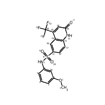 COc1cccc(NS(=O)(=O)c2ccc3[nH]c(=O)cc(C(F)(F)F)c3c2)c1